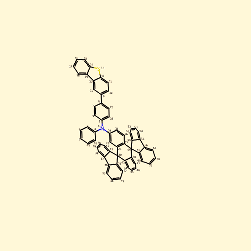 c1ccc(N(c2ccc(-c3ccc4sc5ccccc5c4c3)cc2)c2ccc3c(c2)C2(c4ccccc4-c4ccccc42)c2ccccc2C32c3ccccc3-c3ccccc32)cc1